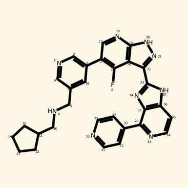 Fc1c(-c2cncc(CNCC3CCCC3)c2)cnc2[nH]nc(-c3nc4c(-c5ccncc5)nccc4[nH]3)c12